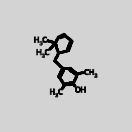 Cc1cc(CC2C=CC=CC2(C)C)cc(C)c1O